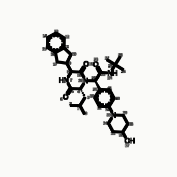 CC(C)C[C@@H]1C(=O)NC(C2Cc3ccccc3C2)C(=O)N1[C@@H](C(=O)NC(C)(C)C)c1ccc(N2CCC(O)CC2)cc1